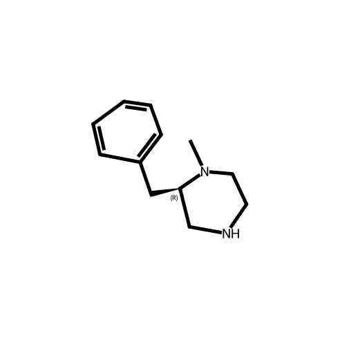 CN1CCNC[C@H]1Cc1ccccc1